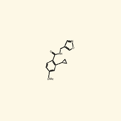 COc1ccc(C(=O)NCc2cnoc2)c(C2CC2)c1